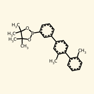 Cc1ccccc1-c1ccc(-c2cccc(B3OC(C)(C)C(C)(C)O3)c2)cc1C